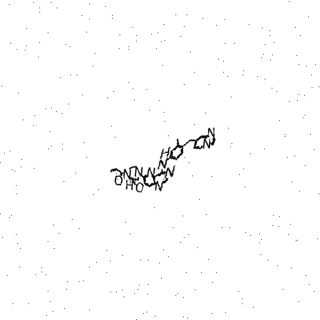 C=CC(=O)N1CCN2C[C@H]1COc1cc3ncnc(Nc4ccc(Cc5ccn6ccnc6c5)c(C)c4)c3nc12